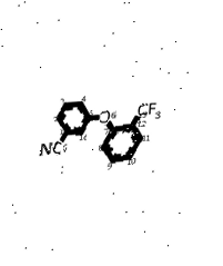 N#Cc1cccc(Oc2ccccc2C(F)(F)F)c1